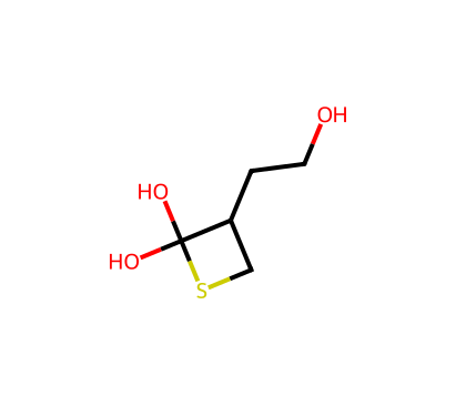 OCCC1CSC1(O)O